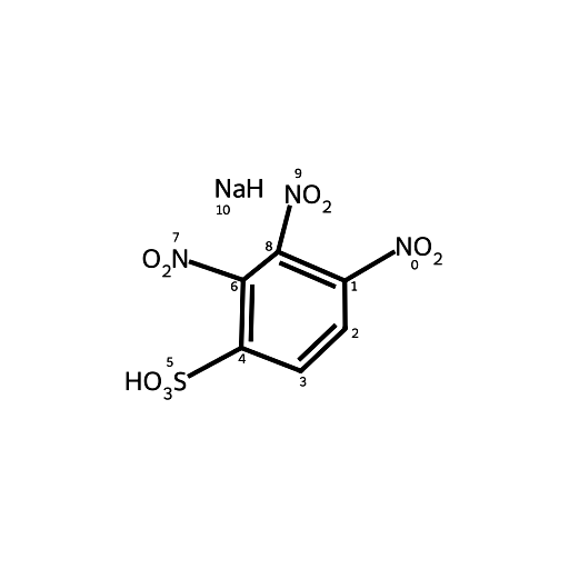 O=[N+]([O-])c1ccc(S(=O)(=O)O)c([N+](=O)[O-])c1[N+](=O)[O-].[NaH]